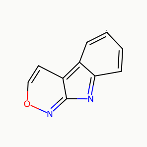 [c]1ccc2nc3noccc-3c2c1